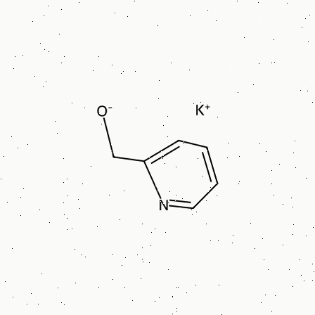 [K+].[O-]Cc1ccccn1